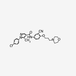 Cc1c(C(=O)Nc2ccc(OCCCN3CCOCC3)c(C#N)c2)cnn1-c1ccc(Cl)cc1